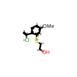 C=C(Cl)c1ccc(OC)cc1SCCO